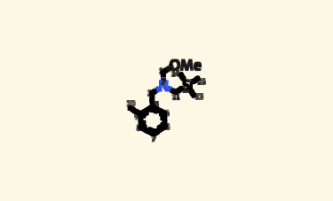 COCN(Cc1ccccc1C)C[Si](C)(C)C